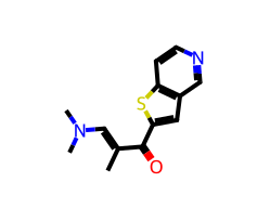 CC(=CN(C)C)C(=O)c1cc2cnccc2s1